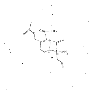 C=CC[C@]1(N)C(=O)N2C(C(=O)O)=C(COC(C)=O)CS[C@@H]21